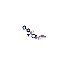 CC(C)(C)OC(=O)N1C=C2CC(=N1)CCC(N(C(=O)c1ccc(-c3cccnn3)cc1)C1CC1)C2